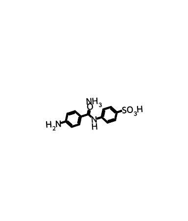 N.Nc1ccc(C(=O)Nc2ccc(S(=O)(=O)O)cc2)cc1